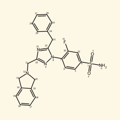 NS(=O)(=O)c1ccc(-n2nc(CN3Cc4ccccc4C3)nc2Cc2ccccc2)c(F)c1